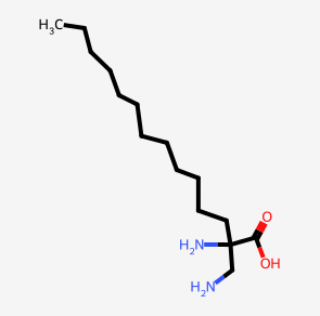 CCCCCCCCCCCCC(N)(CN)C(=O)O